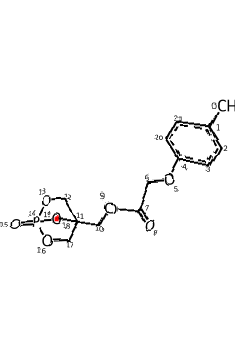 Cc1ccc(OCC(=O)OCC23COP(=O)(OC2)OC3)cc1